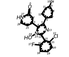 O=c1cc(-c2c(-c3ccc(Br)cc3)nc(-c3c(F)cccc3Cl)n2O)cc[nH]1